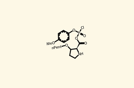 CCCCCOC1CCN[C@@H]1C(=O)OP(=O)(Cl)Oc1ccc(OC)cc1